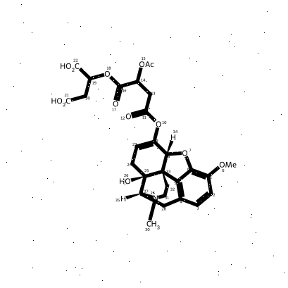 COc1ccc2c3c1O[C@H]1C(OC(=O)CC(OC(C)=O)C(=O)OC(CC(=O)O)C(=O)O)=CC[C@@]4(O)[C@@H](C2)N(C)CC[C@]314